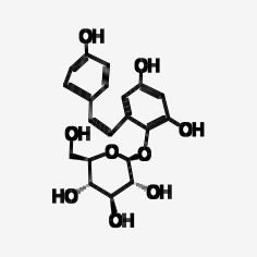 OC[C@H]1O[C@@H](Oc2c(O)cc(O)cc2/C=C\c2ccc(O)cc2)[C@H](O)[C@@H](O)[C@@H]1O